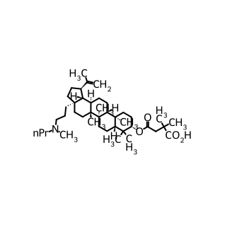 C=C(C)[C@@H]1CC[C@]2(CCCN(C)CCC)CC[C@]3(C)[C@H](CC[C@@H]4[C@@]5(C)CC[C@H](OC(=O)CC(C)(C)C(=O)O)C(C)(C)[C@@H]5CC[C@]43C)[C@@H]12